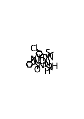 Cc1nc(C(=O)N2C[C@@H]3C[C@@H]3[C@H]2CNC(=O)c2nn(C)c3ccccc23)c(-c2cccc(Cl)c2)s1